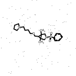 CC12CN(S(=O)(=O)c3ccccc3)CC1(C)C2COCCCCN1CCCC1